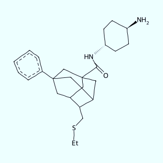 CCSCC1C2CC3(C(=O)N[C@H]4CC[C@H](N)CC4)CC1CC(c1ccccc1)(C2)C3